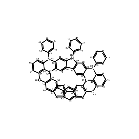 c1ccc(-c2ccc3c(c2)B2c4cc5c6cc7c(cc6n(-c6ccccc6)c5cc4N(c4ccccc4)c4cccc(c42)O3)N(c2ccccc2)c2cccc3c2B7c2cc(-c4ccccc4)ccc2O3)cc1